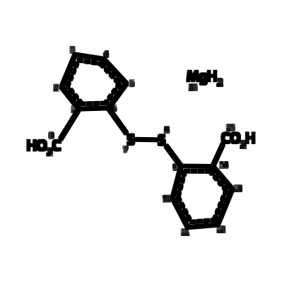 O=C(O)c1ccccc1SSc1ccccc1C(=O)O.[MgH2]